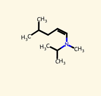 CC(C)C/C=C\N(C)C(C)C